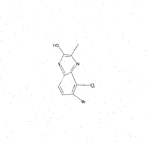 Cc1nc2c(Cl)c(Br)ccc2nc1O